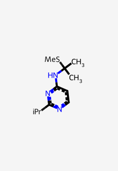 CSC(C)(C)Nc1ccnc(C(C)C)n1